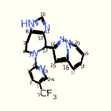 FC(F)(F)c1ccc(N2CCc3[nH]cnc3C2c2cc3ccccn3n2)nc1